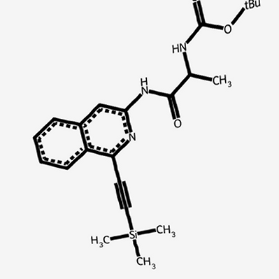 CC(NC(=O)OC(C)(C)C)C(=O)Nc1cc2ccccc2c(C#C[Si](C)(C)C)n1